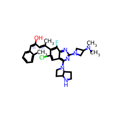 C/C(=C\C(O)=C/c1ccccc1C)c1c(Cl)cc2c(N3CCC4NCCC43)nc(N3CC(N(C)C)C3)nc2c1F